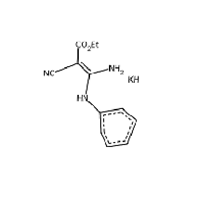 CCOC(=O)C(C#N)=C(N)Nc1ccccc1.[KH]